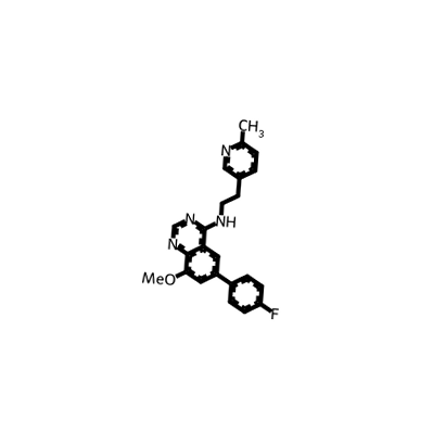 COc1cc(-c2ccc(F)cc2)cc2c(NCCc3ccc(C)nc3)ncnc12